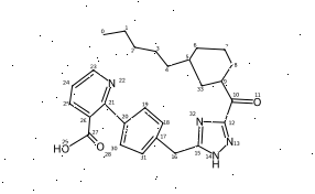 CCCCCC1CCCC(C(=O)c2n[nH]c(Cc3ccc(-c4ncccc4C(=O)O)cc3)n2)C1